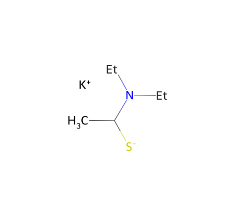 CCN(CC)C(C)[S-].[K+]